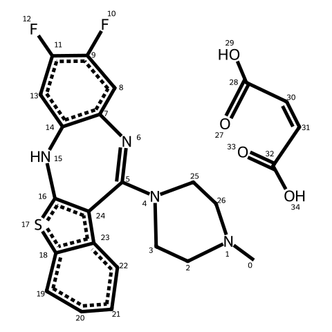 CN1CCN(C2=Nc3cc(F)c(F)cc3Nc3sc4ccccc4c32)CC1.O=C(O)/C=C\C(=O)O